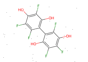 Oc1c(F)c(O)c(-c2c(O)c(F)c(F)c(O)c2F)c(F)c1F